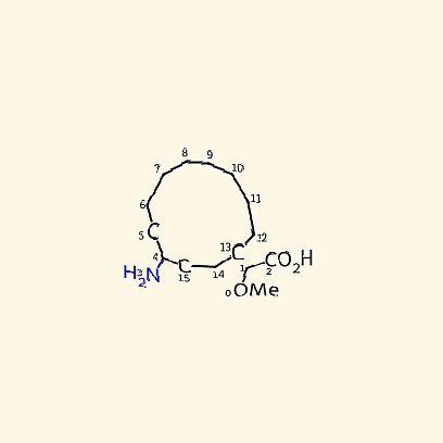 COCC(=O)O.NC1CCCCCCCCCCC1